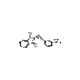 O=C1c2ccccc2C(=O)N1C1CC1c1cccc(C(F)(F)F)c1